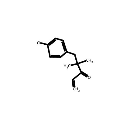 C=CC(=O)C(C)(C)Cc1ccc(Cl)cc1